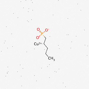 CCCCCP(=O)([O-])[O-].[Cu+2]